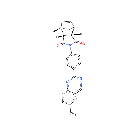 Cc1ccc2nc(-c3ccc(N4C(=O)[C@@H]5[C@@H]6C=CC(C6)[C@@H]5C4=O)cc3)ncc2c1